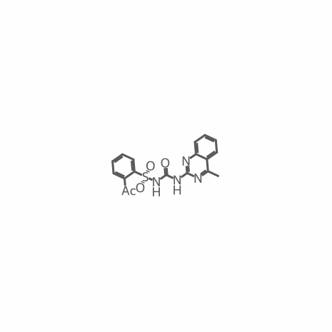 CC(=O)c1ccccc1S(=O)(=O)NC(=O)Nc1nc(C)c2ccccc2n1